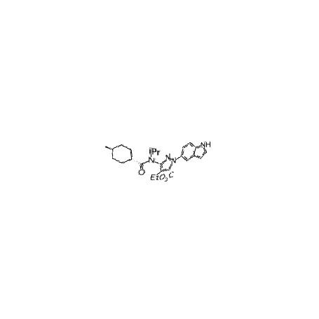 CCOC(=O)c1cn(-c2ccc3[nH]ccc3c2)nc1N(C(=O)[C@H]1CC[C@H](C)CC1)C(C)C